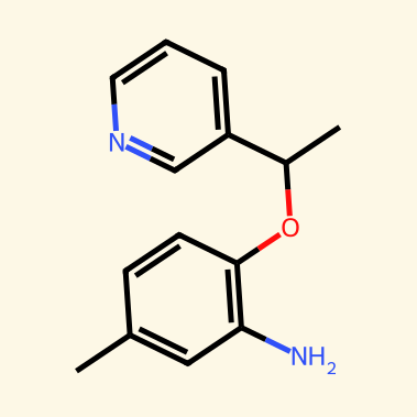 Cc1ccc(OC(C)c2cccnc2)c(N)c1